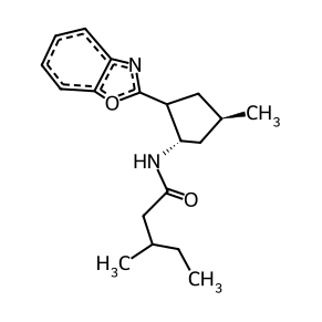 CCC(C)CC(=O)N[C@H]1C[C@H](C)CC1c1nc2ccccc2o1